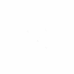 c1ccc(-n2c3ccccc3c3ccc(-n4c5ccccc5c5ccc6ccc7c(c8ccccc8n7-c7ccccc7)c6c54)cc32)cc1